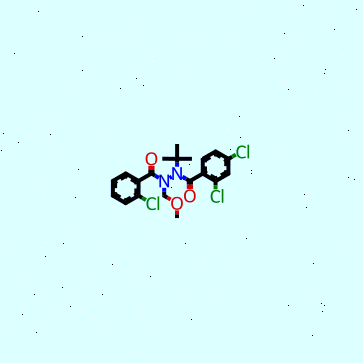 COCN(C(=O)c1ccccc1Cl)N(C(=O)c1ccc(Cl)cc1Cl)C(C)(C)C